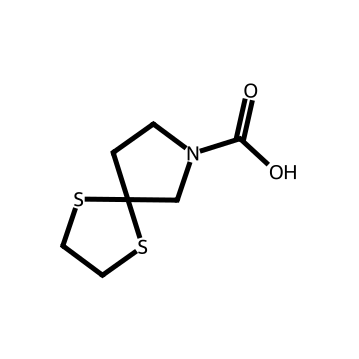 O=C(O)N1CCC2(C1)SCCS2